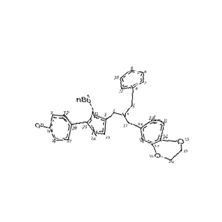 CCCCn1c(CN(Cc2ccccc2)Cc2ccc3c(c2)OCCO3)cnc1-c1ccc(Cl)cc1